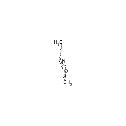 CCCCCCCCCc1cnc(-c2ccc(OCCOCCC)cc2)nc1